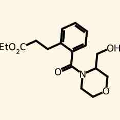 CCOC(=O)CCc1ccccc1C(=O)N1CCOCC1CO